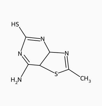 CC1=NC2N=C(S)N=C(N)C2S1